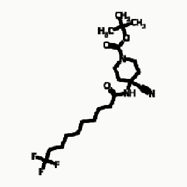 CC(C)(C)OC(=O)N1CCC(C#N)(NC(=O)CCCCCCCCC(F)(F)F)CC1